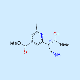 CN/C(O)=C(\C=N)c1cc(C(=O)OC)cc(C)n1